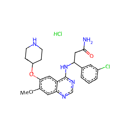 COc1cc2ncnc(NC(CC(N)=O)c3cccc(Cl)c3)c2cc1OC1CCNCC1.Cl